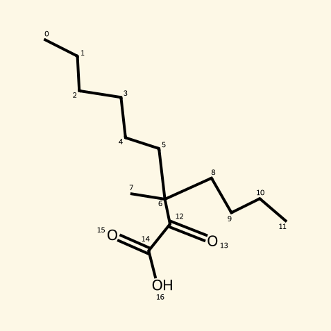 CCCCCCC(C)(CCCC)C(=O)C(=O)O